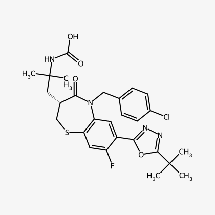 CC(C)(C[C@H]1CSc2cc(F)c(-c3nnc(C(C)(C)C)o3)cc2N(Cc2ccc(Cl)cc2)C1=O)NC(=O)O